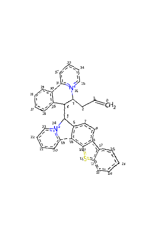 C=CCC1C(C2c3ccc4c(sc5ccccc54)c3-c3cccc[n+]32)c2ccccc2-c2cccc[n+]21